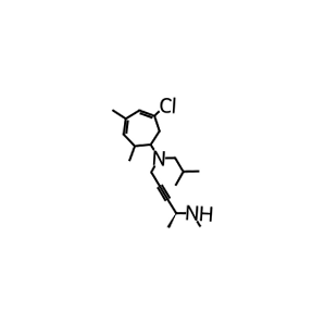 CN[C@@H](C)C#CCN(CC(C)C)C1CC(Cl)=CC(C)=CC1C